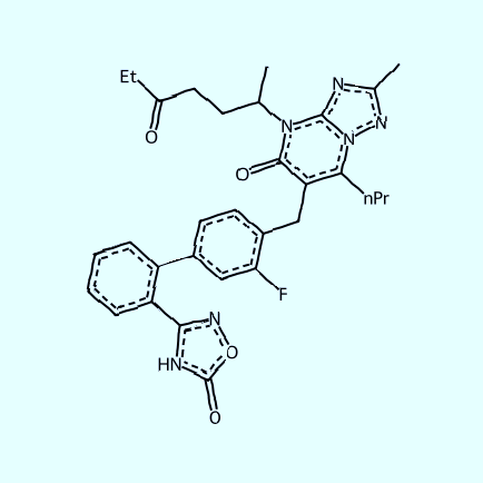 CCCc1c(Cc2ccc(-c3ccccc3-c3noc(=O)[nH]3)cc2F)c(=O)n(C(C)CCC(=O)CC)c2nc(C)nn12